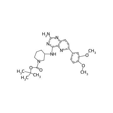 COc1ccc(-c2ccc3nc(N)nc(NC4CCCN(C(=O)OC(C)(C)C)C4)c3n2)cc1OC